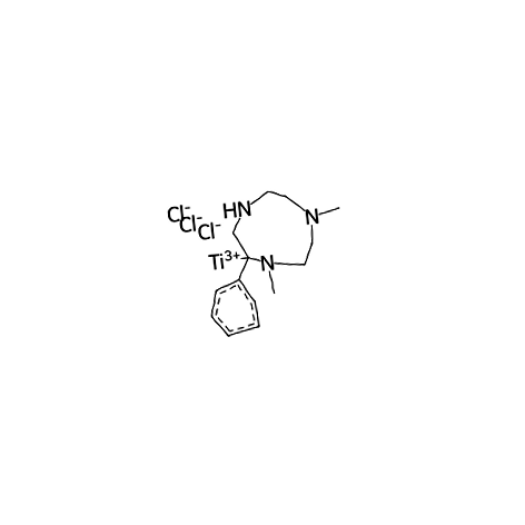 CN1CCNC[C]([Ti+3])(c2ccccc2)N(C)CC1.[Cl-].[Cl-].[Cl-]